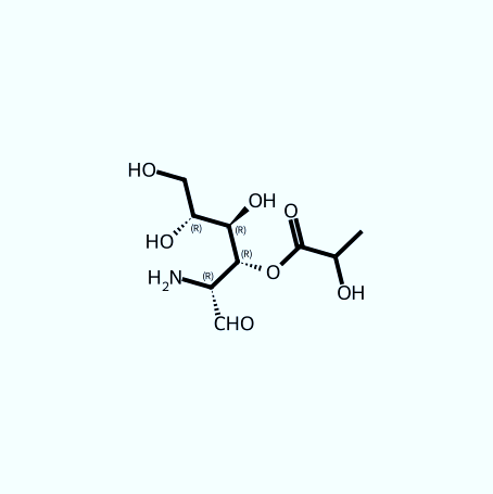 CC(O)C(=O)O[C@@H]([C@H](O)[C@H](O)CO)[C@@H](N)C=O